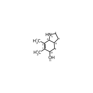 CC1=C(C)C2NCCC2CC1O